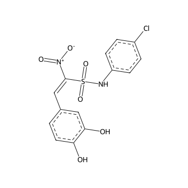 O=[N+]([O-])C(=Cc1ccc(O)c(O)c1)S(=O)(=O)Nc1ccc(Cl)cc1